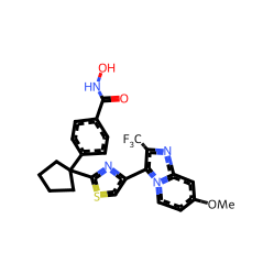 COc1ccn2c(-c3csc(C4(c5ccc(C(=O)NO)cc5)CCCC4)n3)c(C(F)(F)F)nc2c1